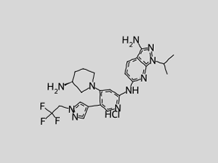 CC(C)n1nc(N)c2ccc(Nc3cc(N4CCC[C@H](N)C4)c(-c4cnn(CC(F)(F)F)c4)cn3)nc21.Cl